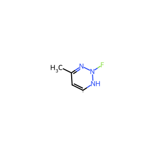 CC1=NN(F)N[C]=C1